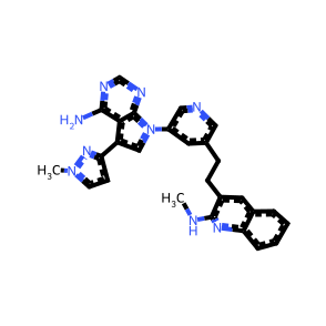 CNc1nc2ccccc2cc1CCc1cncc(-n2cc(-c3ccn(C)n3)c3c(N)ncnc32)c1